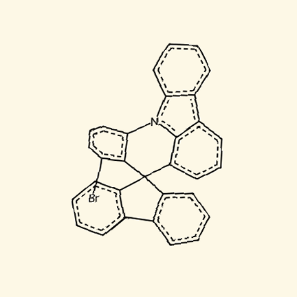 Brc1cccc2c1C1(c3ccccc3-c3ccccc31)c1cccc3c4ccccc4n-2c13